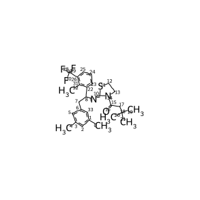 Cc1cc(C)cc(CC(N=C2SCCN2C(=O)CC(C)(C)C)c2cccc(C(F)(F)F)c2C)c1